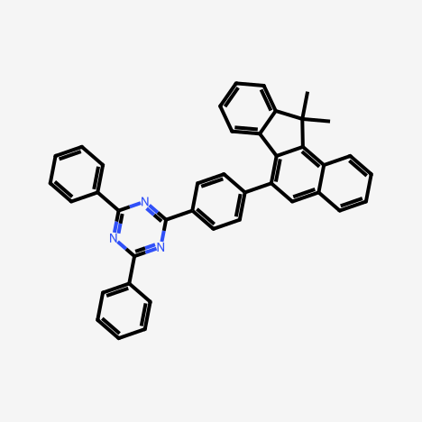 CC1(C)c2ccccc2-c2c(-c3ccc(-c4nc(-c5ccccc5)nc(-c5ccccc5)n4)cc3)cc3ccccc3c21